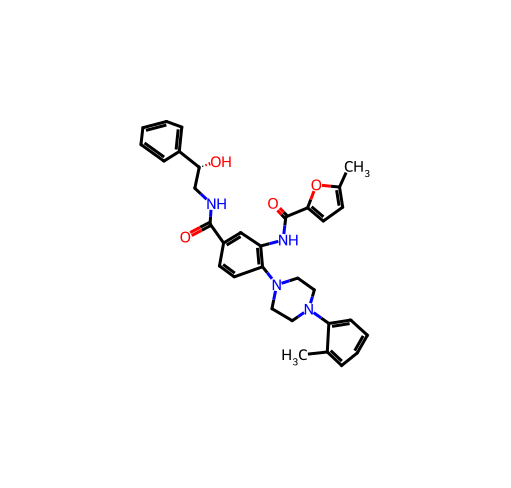 Cc1ccc(C(=O)Nc2cc(C(=O)NC[C@@H](O)c3ccccc3)ccc2N2CCN(c3ccccc3C)CC2)o1